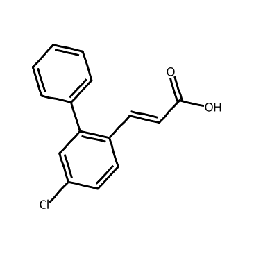 O=C(O)/C=C/c1ccc(Cl)cc1-c1ccccc1